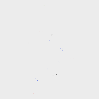 C=CC(=O)N1CCN(c2nc(=O)n(-c3ccccc3C(C)C)c3nc(Oc4cccc(F)c4)c(Cl)cc23)[C@@H](C)C1